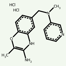 CC1=C(N)Nc2cc(CN(C)c3cccnc3)ccc2O1.Cl.Cl